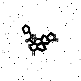 O=C(NC1CCCC1)C1(Nc2ccc3[nH]ncc3c2)N=CNc2ccccc21